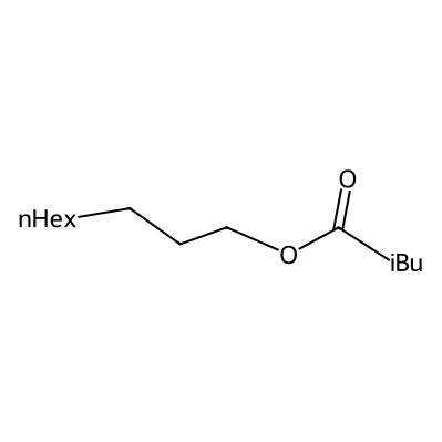 CCCCCCCCCOC(=O)C(C)CC